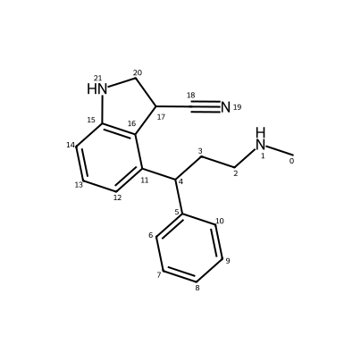 CNCCC(c1ccccc1)c1cccc2c1C(C#N)CN2